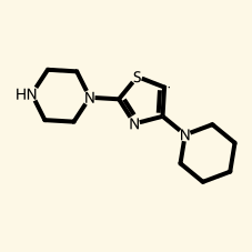 [c]1sc(N2CCNCC2)nc1N1CCCCC1